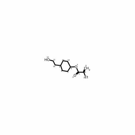 C=C(CC)C(=O)OC1CCC(CCO)CC1